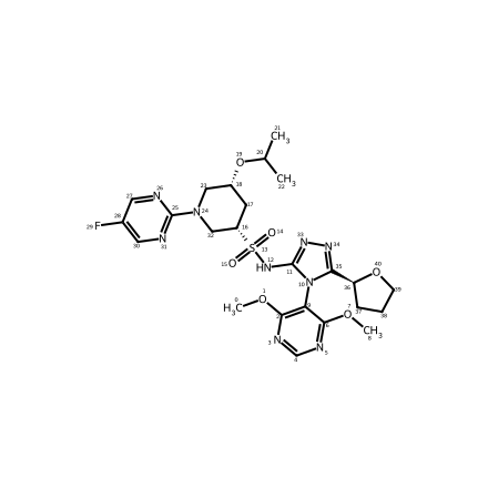 COc1ncnc(OC)c1-n1c(NS(=O)(=O)[C@H]2C[C@@H](OC(C)C)CN(c3ncc(F)cn3)C2)nnc1[C@@H]1CCCO1